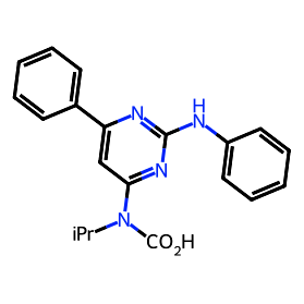 CC(C)N(C(=O)O)c1cc(-c2ccccc2)nc(Nc2ccccc2)n1